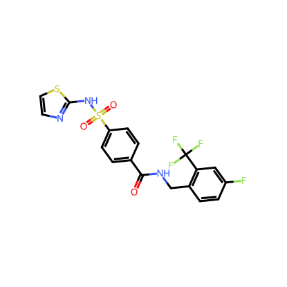 O=C(NCc1ccc(F)cc1C(F)(F)F)c1ccc(S(=O)(=O)Nc2nccs2)cc1